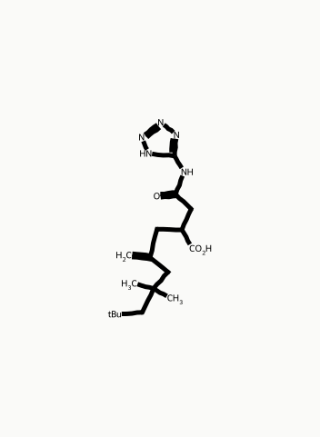 C=C(CC(CC(=O)Nc1nnn[nH]1)C(=O)O)CC(C)(C)CC(C)(C)C